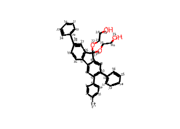 CCc1ccc(-c2cc3c(cc2-c2ccccc2)C(OCCO)(OCCO)c2cc(-c4ccccc4)ccc2-3)cc1